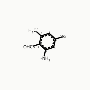 Cc1cc(Br)cc(N)c1C=O